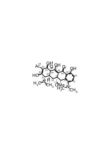 COC[C@@]12Cc3c(N(C)C)ccc(O)c3C(=O)C1=C(O)[C@]1(O)C(=O)C(C(C)=O)=C(O)[C@@H](N(C)C)[C@@H]1C2